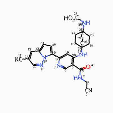 N#CCNC(=O)c1cnc(-c2ccc3cc(C#N)cnn23)cc1NC12CCC(NC(=O)O)(CC1)CC2